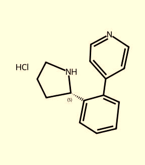 Cl.c1ccc([C@@H]2CCCN2)c(-c2ccncc2)c1